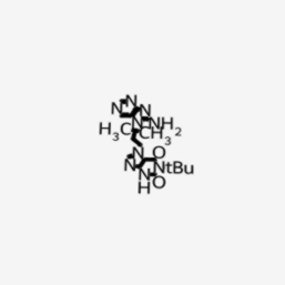 CC(C)(C)N1C(=O)NC2N=CN(CCC(C)(C)n3c(N)nc4ncncc43)C2C1=O